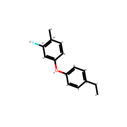 CCc1ccc(Oc2ccc(C)c(F)c2)cc1